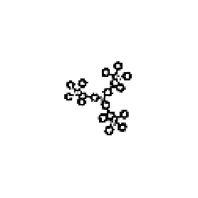 C1=C(c2ccc(N(c3ccc(-c4cc5c(-c6ccccc6)c(-c6ccccc6)n(-c6ccccc6)c5c5ccccc45)cc3)c3ccc(-c4cc5c(-c6ccccc6)c(-c6ccccc6)n(-c6ccccc6)c5c5ccccc45)cc3)cc2)c2ccccc2C2C1C(c1ccccc1)=C(c1ccccc1)N2c1ccccc1